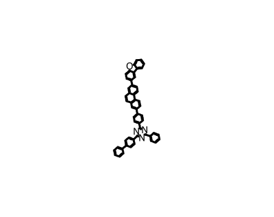 c1ccc(-c2ccc(-c3nc(-c4ccccc4)nc(-c4ccc(-c5ccc6c(ccc7cc(-c8ccc9oc%10ccccc%10c9c8)ccc76)c5)cc4)n3)cc2)cc1